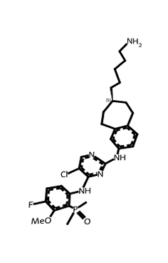 COc1c(F)ccc(Nc2nc(Nc3ccc4c(c3)CC[C@@H](CCCCCN)CC4)ncc2Cl)c1P(C)(C)=O